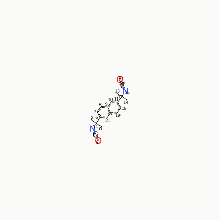 CC(C)(N=C=O)c1ccc2cc(C(C)(C)N=C=O)ccc2c1